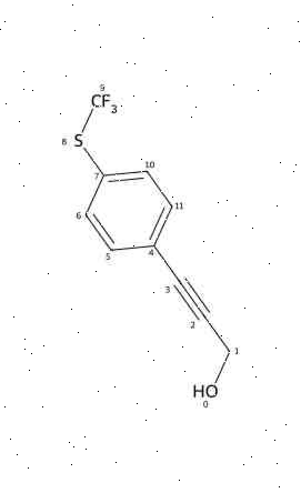 OCC#Cc1ccc(SC(F)(F)F)cc1